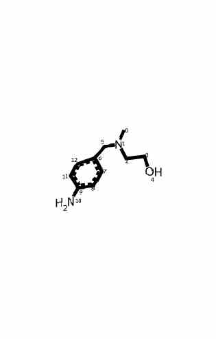 CN(CCO)Cc1ccc(N)cc1